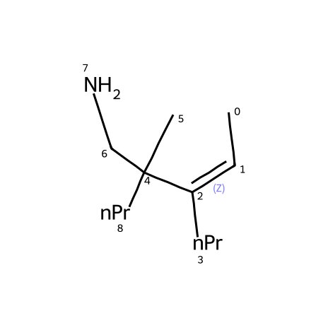 C/C=C(/CCC)C(C)(CN)CCC